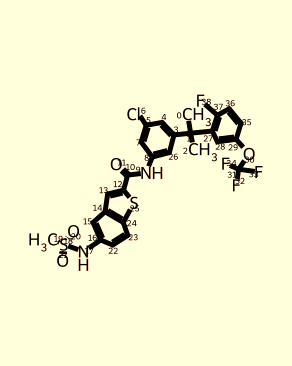 CC(C)(c1cc(Cl)cc(NC(=O)c2cc3cc(NS(C)(=O)=O)ccc3s2)c1)c1cc(OC(F)(F)F)ccc1F